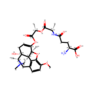 COc1ccc2c3c1O[C@@H]1C(OC(=O)[C@H](C)OC(=O)[C@H](C)NC(=O)CC[C@H](N)C(=O)O)=CC[C@]4(O)[C@H](C2)N(C)CC[C@@]314